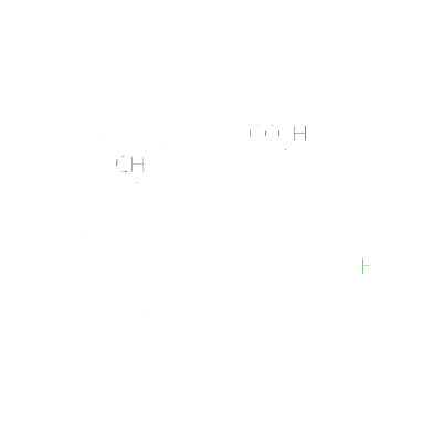 CC1C2CC3CC1CC(C2)C3(CC(=O)O)c1ccc(F)cc1